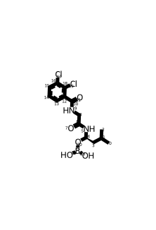 CC(C)C[C@H](NC(=O)CNC(=O)c1cccc(Cl)c1Cl)OB(O)O